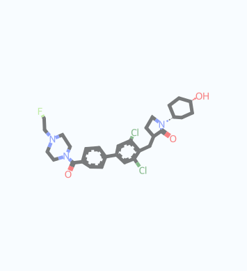 O=C(c1ccc(-c2cc(Cl)c(CC3CCN([C@H]4CC[C@@H](O)CC4)C3=O)c(Cl)c2)cc1)N1CCN(CCF)CC1